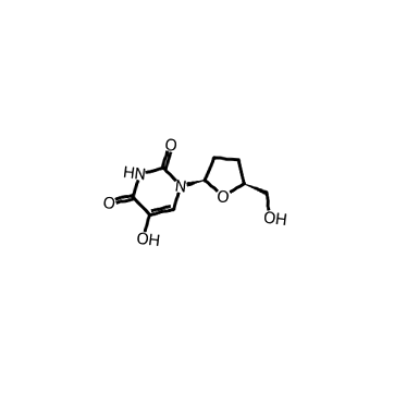 O=c1[nH]c(=O)n([C@H]2CC[C@@H](CO)O2)cc1O